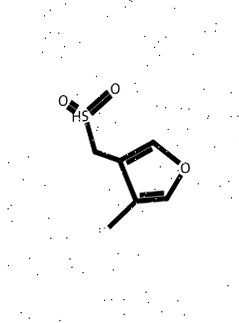 [CH2]c1cocc1C[SH](=O)=O